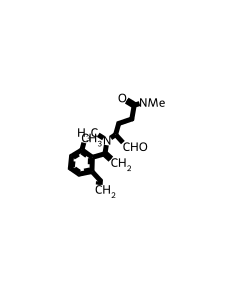 C=Cc1cccc(C)c1C(=C)N(C)C(C=O)CCC(=O)NC